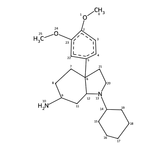 COc1ccc(C23CCC(N)CC2N(C2CCCCC2)CC3)cc1OC